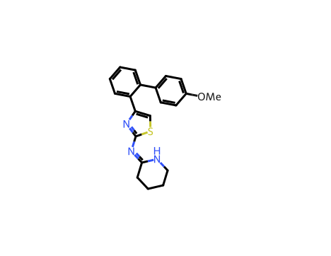 COc1ccc(-c2ccccc2-c2csc(/N=C3/CCCCN3)n2)cc1